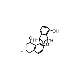 C[C@@H]1CC(=O)c2c(ccc3c2[C@@H]2O[C@H](O3)c3c(O)cccc32)C1